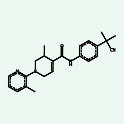 Cc1cccnc1N1CC=C(C(=O)Nc2ccc(C(C)(C)C#N)cc2)C(C)C1